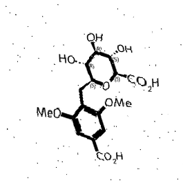 COc1cc(C(=O)O)cc(OC)c1C[C@@H]1O[C@H](C(=O)O)[C@@H](O)[C@H](O)[C@H]1O